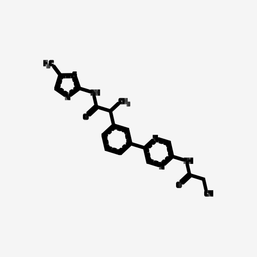 CC(C(=O)Nc1ncc(C(F)(F)F)s1)c1cccc(-c2cnc(NC(=O)CC#N)cn2)c1